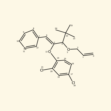 C=CCOC(C(=Cc1cccnc1)Oc1ccc(Cl)cc1Cl)C(C)(C)C